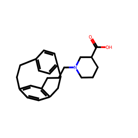 O=C(O)C1CCCN(CCCc2cc3ccc2CCc2ccc(cc2)CC3)C1